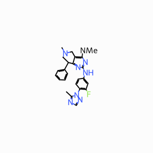 CNc1nc(Nc2ccc(-n3ncnc3C)c(F)c2)nc2c1CN(C)CC2c1ccccc1